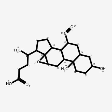 CC(CCC(=O)O)C1CCC2C3C(N=O)CC4CC(O)CCC4(C)C3CC3OC312